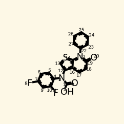 O=C(O)N(c1ccc(F)cc1F)c1csc2c1ccc(=O)n2-c1ccccc1